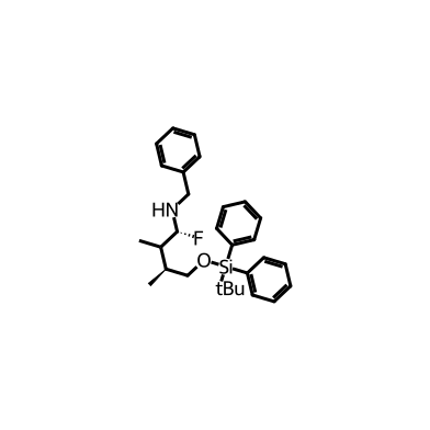 CC([C@H](C)CO[Si](c1ccccc1)(c1ccccc1)C(C)(C)C)[C@@H](F)NCc1ccccc1